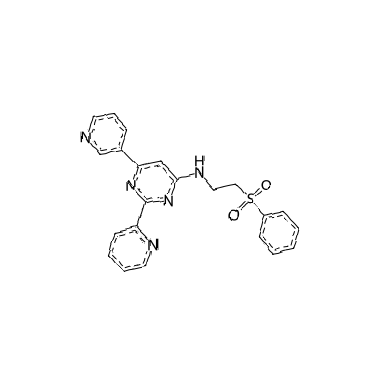 O=S(=O)(CCNc1cc(-c2cccnc2)nc(-c2ccccn2)n1)c1ccccc1